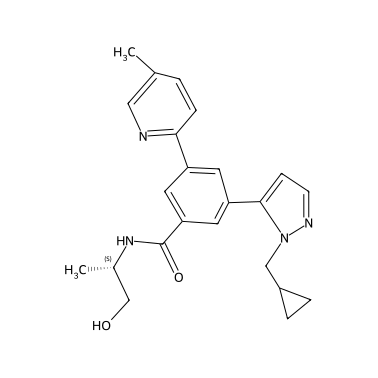 Cc1ccc(-c2cc(C(=O)N[C@@H](C)CO)cc(-c3ccnn3CC3CC3)c2)nc1